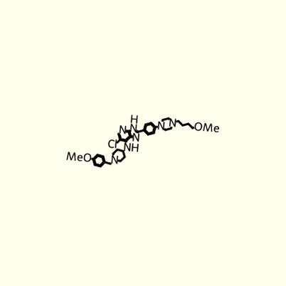 COCCCCN1CCN(c2ccc(-c3nc4c(NC5CCN(Cc6ccc(OC)cc6)CC5)c(Cl)cnc4[nH]3)cc2)CC1